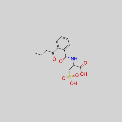 CCCC(=O)c1ccccc1C(=O)NC(CS(=O)(=O)O)C(=O)O